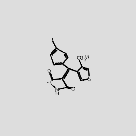 O=C1NNC(=O)C1=C(c1ccc(I)cc1)c1cscc1C(=O)O